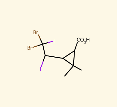 CC1(C)C(C(=O)O)C1C(I)C(Br)(Br)I